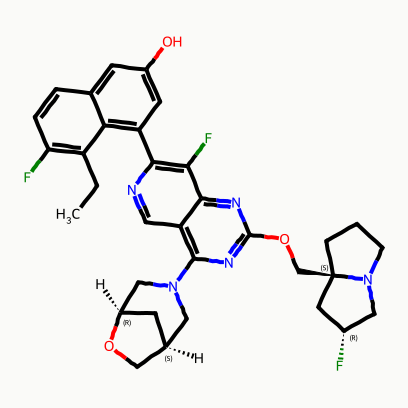 CCc1c(F)ccc2cc(O)cc(-c3ncc4c(N5C[C@H]6CO[C@H](C6)C5)nc(OC[C@@]56CCCN5C[C@H](F)C6)nc4c3F)c12